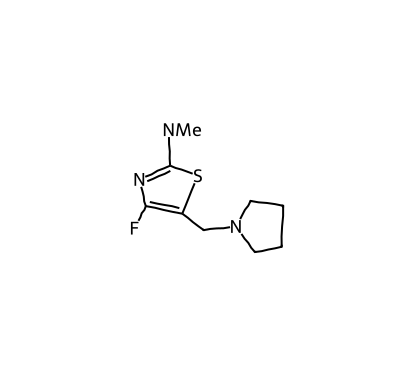 CNc1nc(F)c(CN2CCCC2)s1